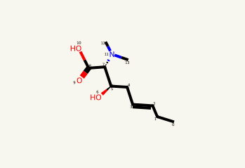 CCC=CC[C@@H](O)[C@H](C(=O)O)N(C)C